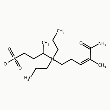 CCC[N+](CCC)(CCC=C(C)C(N)=O)C(C)CCS(=O)(=O)[O-]